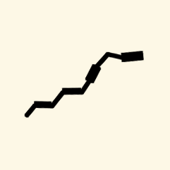 C#CCC#CC=CC=CC